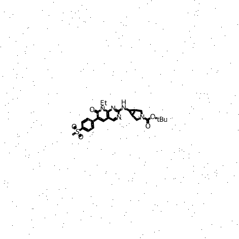 CCn1c(=O)c(-c2ccc(S(C)(=O)=O)cc2)cc2cnc(NC3C4CN(C(=O)OC(C)(C)C)CC43)nc21